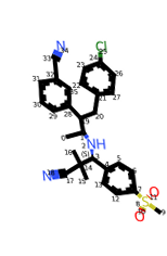 CC(N[C@@H](c1ccc(S(C)(=O)=O)cc1)C(C)(C)C#N)C(Cc1ccc(Cl)cc1)c1cccc(C#N)c1